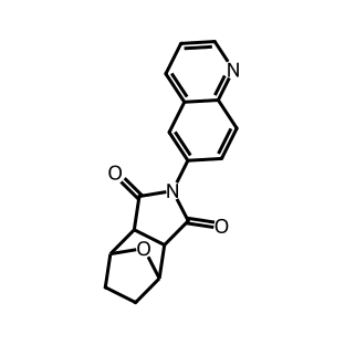 O=C1C2C3CCC(O3)C2C(=O)N1c1ccc2ncccc2c1